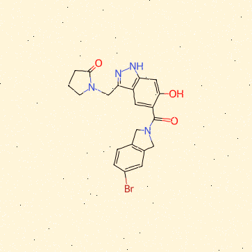 O=C1CCCN1Cc1n[nH]c2cc(O)c(C(=O)N3Cc4ccc(Br)cc4C3)cc12